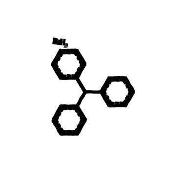 [BaH2].c1ccc(C(c2ccccc2)c2ccccc2)cc1